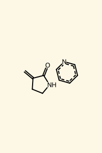 C=C1CCNC1=O.c1ccncc1